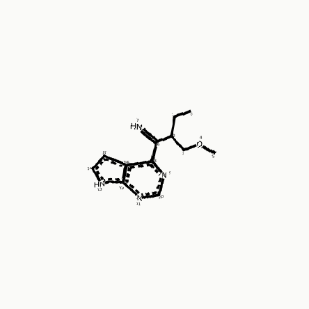 CCC(COC)C(=N)c1ncnc2[nH]ccc12